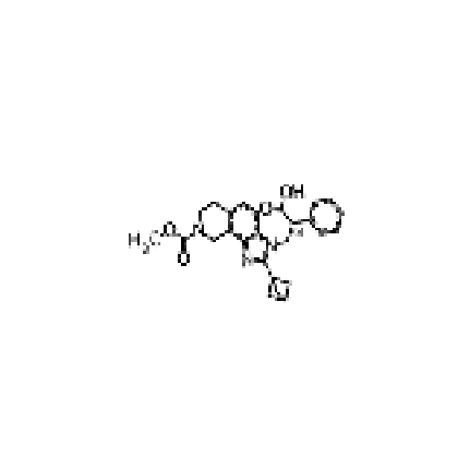 COC(=O)N1CCc2ccc3c(nc(C45CC(C4)C5)n3C[C@@H](C(=O)O)c3ccccc3)c2C1